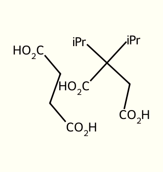 CC(C)C(CC(=O)O)(C(=O)O)C(C)C.O=C(O)CCC(=O)O